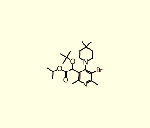 Cc1nc(C)c(C(OC(C)(C)C)C(=O)OC(C)C)c(N2CCC(C)(C)CC2)c1Br